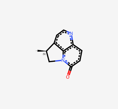 [CH2][C@@H]1Cn2c(=O)ccc3nccc1c32